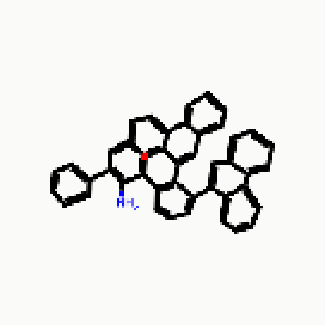 Nc1c(-c2ccccc2)cccc1-c1cccc(-c2cc3ccccc3c3ccccc23)c1-c1cc2ccccc2c2ccccc12